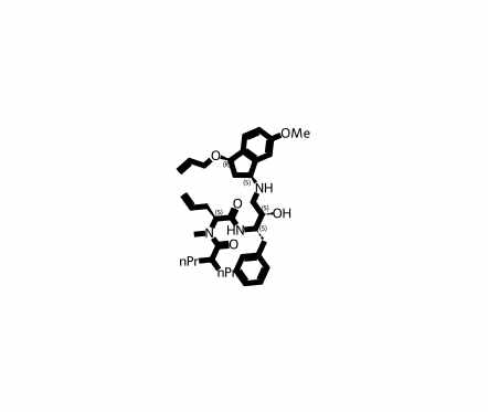 C=CCO[C@@H]1C[C@H](NC[C@H](O)[C@H](Cc2ccccc2)NC(=O)[C@H](CC=C)N(C)C(=O)C(CCC)CCC)c2cc(OC)ccc21